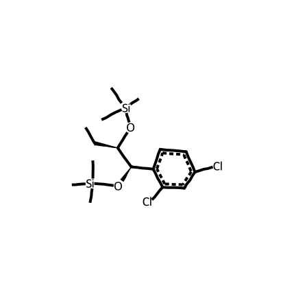 CC[C@@H](O[Si](C)(C)C)[C@H](O[Si](C)(C)C)c1ccc(Cl)cc1Cl